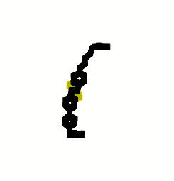 CCCCCCCCCCCCCCCc1ccc2c(c1)sc1c3ccc(-c4ccc(CCCCCCCC)cc4)cc3sc21